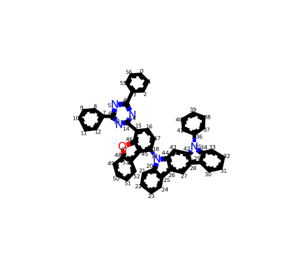 c1ccc(-c2nc(-c3ccccc3)nc(-c3ccc(-n4c5ccccc5c5cc6c7ccccc7n(-c7ccccc7)c6cc54)c4c3oc3ccccc34)n2)cc1